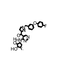 [CH2][C@@H]1C[C@@H](Nc2ncncc2C(=O)c2ccn(Cc3cccc(Oc4ccc(F)cc4)c3)n2)[C@H](O)[C@@H]1O